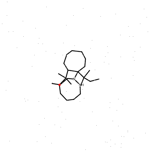 CCC(C)(C)C1CCCCCCC1(N1CCCCCCN1)C(C)(C)CC